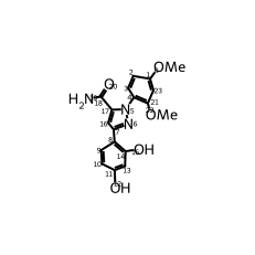 COc1ccc(-n2nc(-c3ccc(O)cc3O)cc2C(N)=O)c(OC)c1